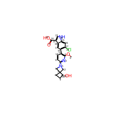 COc1nc(N2CC3(CC[C@H]3O)C2)ccc1-c1cc2c(C(=O)O)c[nH]c2cc1Cl